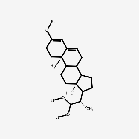 CCOC1=CC2=CCC3C4CCC([C@H](C)C(OCC)OCC)[C@@]4(C)CCC3[C@@]2(C)CC1